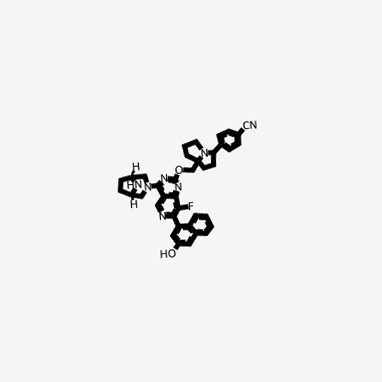 N#Cc1ccc(C2CCC3(COc4nc(N5C[C@H]6CC[C@@H](C5)N6)c5cnc(-c6cc(O)cc7ccccc67)c(F)c5n4)CCCN23)cc1